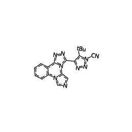 CC(C)(C)c1c(-c2nnc3c4ccccc4n4cncc4n23)nnn1C#N